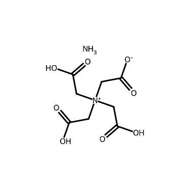 N.O=C([O-])C[N+](CC(=O)O)(CC(=O)O)CC(=O)O